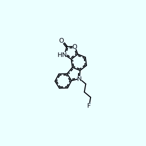 O=c1[nH]c2c(ccc3c2c2ccccc2n3CCCF)o1